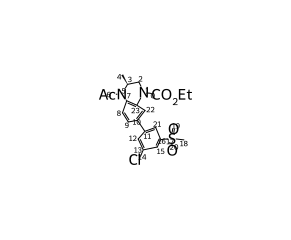 CCOC(=O)N1C[C@H](C)N(C(C)=O)c2ccc(-c3cc(Cl)cc(S(C)(=O)=O)c3)cc21